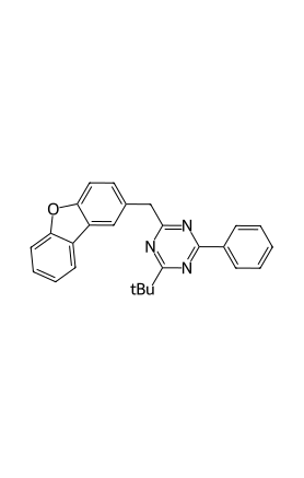 CC(C)(C)c1nc(Cc2ccc3oc4ccccc4c3c2)nc(-c2ccccc2)n1